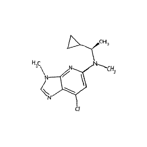 C[C@H](C1CC1)N(C)c1cc(Cl)c2ncn(C)c2n1